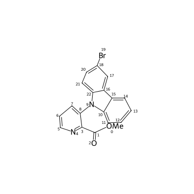 COC(=O)c1ncccc1-n1c2ccccc2c2cc(Br)ccc21